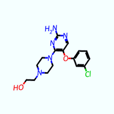 Nc1ncc(Oc2cccc(Cl)c2)c(N2CCN(CCO)CC2)n1